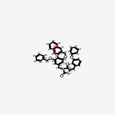 O=C1S/C(=C/c2cccc(Oc3ccccc3)c2)C(=O)N1Cc1cc(OCc2ccccc2)c(OCc2ccccc2)c(OCc2ccccc2)c1